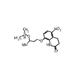 C[SiH](C)OC(CCOc1ccc([N+](=O)[O-])c2c1NC(=O)CC2)C(C)(C)C